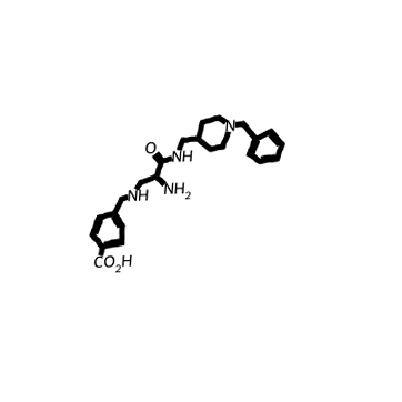 NC(CNCc1ccc(C(=O)O)cc1)C(=O)NCC1CCN(Cc2ccccc2)CC1